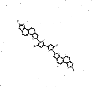 Fc1cc2ccc3c(ccc4cc(-c5sc(-c6cc(F)c(-c7cc8ccc9c(ccc%10cc(F)sc%109)c8s7)s6)cc5F)sc43)c2s1